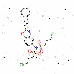 O=S(=O)(CCCCl)N(c1ccc2oc(C=Cc3ccccc3)nc2c1)S(=O)(=O)CCCCl